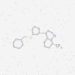 FC(F)(F)c1cccc2c(-c3cccc(SCc4ccccc4)c3)[c]cnc12